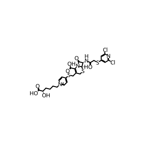 O=C(CSc1cc(Cl)nc(Cl)c1)N[C@H]1C(=O)N2C(C(=O)O)=C(CSc3cc[n+](CCCC[C@H](O)C(=O)O)cc3)CS[C@H]12